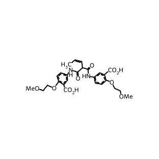 C/C=C\C(C(=O)Nc1ccc(OCCOC)c(C(=O)O)c1)C(=O)Nc1ccc(OCCOC)c(C(=O)O)c1